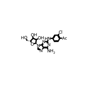 CC(=O)c1ccc(Nc2nc(N)c3ncn([C@@H]4O[C@H](CO)C(O)C4O)c3n2)cc1Cl